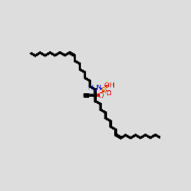 C#CC(CCCCCCCC/C=C\CCCCCCCC)(CCCCCCCC/C=C\CCCCCCCC)OP(N)(=O)O